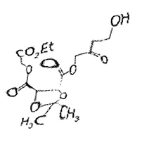 CCOC(=O)COC(=O)[C@@H]1OC(C)(C)O[C@H]1C(=O)OCC(=O)CCO